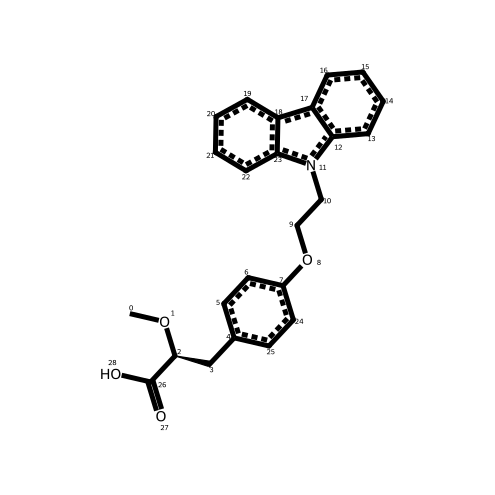 CO[C@@H](Cc1ccc(OCCn2c3ccccc3c3ccccc32)cc1)C(=O)O